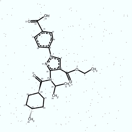 CCOC(=O)c1cn(-c2ccc(C(=O)O)cc2)nc1N(C(=O)[C@H]1CC[C@H](C)CC1)C(C)C